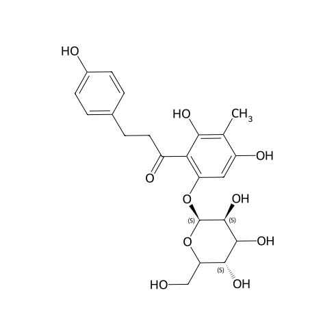 Cc1c(O)cc(O[C@@H]2OC(CO)[C@@H](O)C(O)[C@@H]2O)c(C(=O)CCc2ccc(O)cc2)c1O